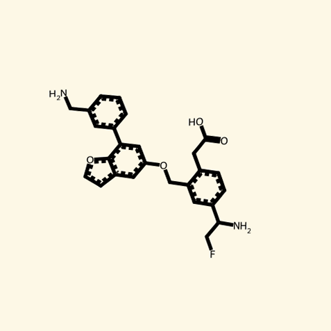 NCc1cccc(-c2cc(OCc3cc(C(N)CF)ccc3CC(=O)O)cc3ccoc23)c1